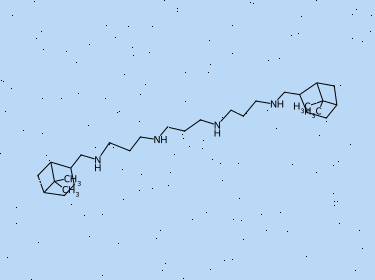 CC1(C)C2CCC(CNCCCNCCCNCCCNCC3CCC4CC3C4(C)C)C1C2